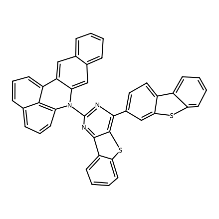 c1ccc2cc3c(cc2c1)-c1cccc2cccc(c12)N3c1nc(-c2ccc3c(c2)sc2ccccc23)c2sc3ccccc3c2n1